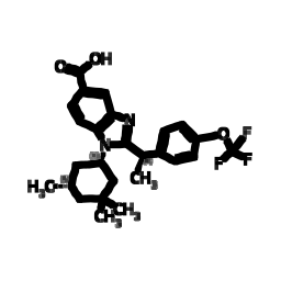 C[C@@H]1C[C@H](n2c([C@H](C)c3ccc(OC(F)(F)F)cc3)nc3cc(C(=O)O)ccc32)CC(C)(C)C1